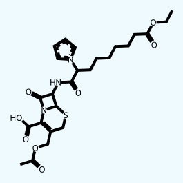 CCOC(=O)CCCCCCC(C(=O)NC1C(=O)N2C(C(=O)O)=C(COC(C)=O)CSC12)n1cccc1